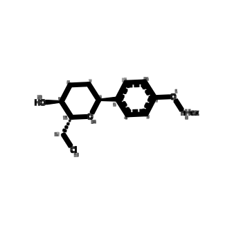 CCCCCCOc1ccc([C@@H]2CC[C@H](O)[C@@H](CCl)O2)cc1